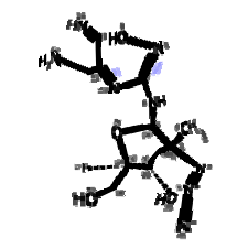 C[C@]1(N=[N+]=[N-])[C@H](NC(=N/O)/N=C(/N)C=N)O[C@](F)(CO)[C@H]1O